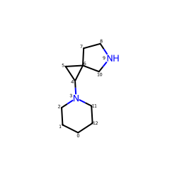 C1CCN(C2CC23CCNC3)CC1